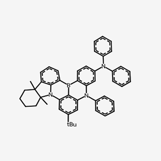 CC(C)(C)c1cc2c3c(c1)N1c4c(cccc4C4(C)CCCCC14C)B3c1ccc(N(c3ccccc3)c3ccccc3)cc1N2c1ccccc1